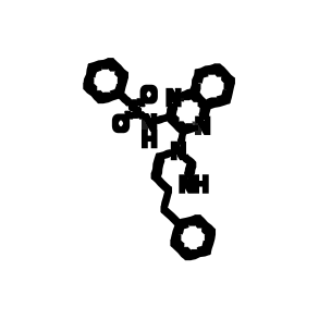 N=CN(/C=C\CCc1ccccc1)c1nc2ccccc2nc1NS(=O)(=O)c1ccccc1